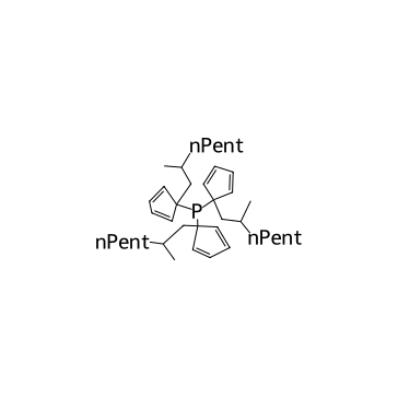 CCCCCC(C)CC1(P(C2(CC(C)CCCCC)C=CC=C2)C2(CC(C)CCCCC)C=CC=C2)C=CC=C1